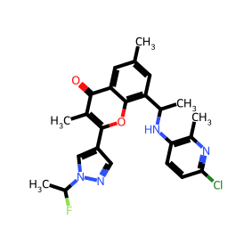 Cc1cc(C(C)Nc2ccc(Cl)nc2C)c2oc(-c3cnn(C(C)F)c3)c(C)c(=O)c2c1